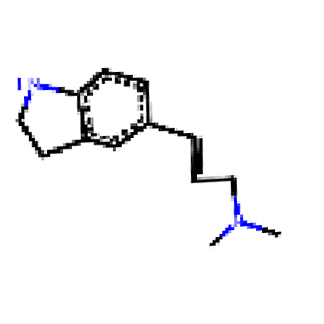 CN(C)CC=Cc1ccc2c(c1)CCN2